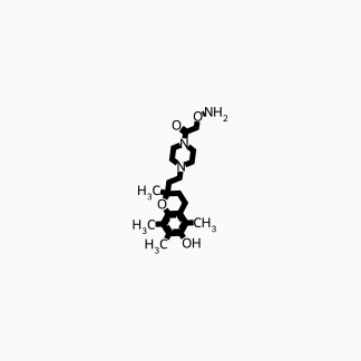 Cc1c(C)c2c(c(C)c1O)CCC(C)(CCN1CCN(C(=O)CON)CC1)O2